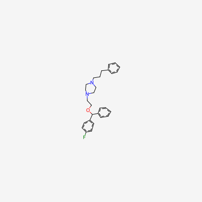 Fc1ccc(C(OCCN2CCN(CCCc3ccccc3)CC2)c2ccccc2)cc1